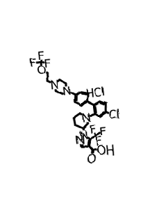 Cl.O=C(O)c1cnn(C2CCCN(c3cc(Cl)ccc3-c3ccc(N4CCN(CCOC(F)(F)F)CC4)cc3)C2)c1C(F)(F)F